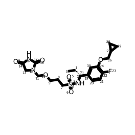 CC[C@@H](NS(=O)(=O)CCCOCN1CC(=O)NC1=O)c1ccc(F)c(OCC2CC2)c1